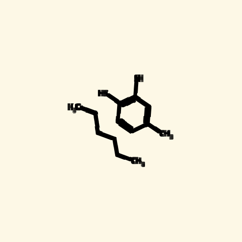 CCCCCC.Cc1ccc(S)c(S)c1